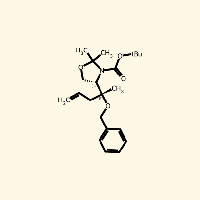 C=CC[C@@](C)(OCc1ccccc1)[C@@H]1COC(C)(C)N1C(=O)OC(C)(C)C